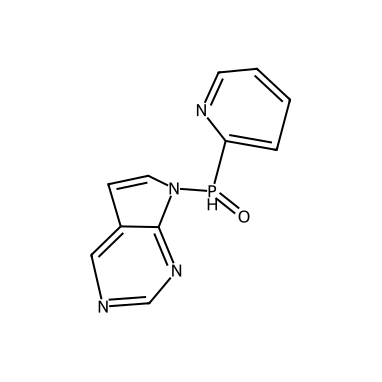 O=[PH](c1ccccn1)n1ccc2cncnc21